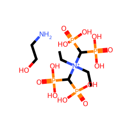 CC[N+](CC)(C(P(=O)(O)O)P(=O)(O)O)C(P(=O)(O)O)P(=O)(O)O.NCCO